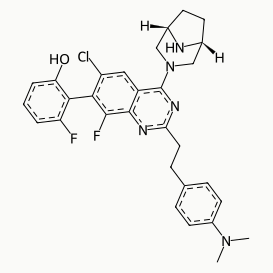 CN(C)c1ccc(CCc2nc(N3C[C@H]4CC[C@@H](C3)N4)c3cc(Cl)c(-c4c(O)cccc4F)c(F)c3n2)cc1